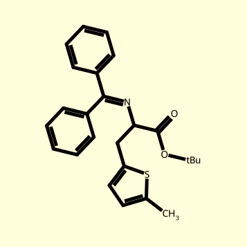 Cc1ccc(CC(N=C(c2ccccc2)c2ccccc2)C(=O)OC(C)(C)C)s1